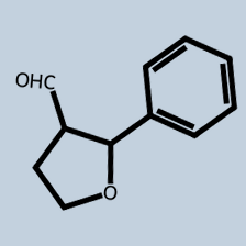 O=CC1CCOC1c1ccccc1